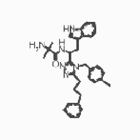 Cc1ccc(Cn2c(CCCc3ccccc3)nnc2C(Cc2c[nH]c3ccccc23)NC(=O)C(C)(C)N)cc1